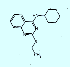 CCSc1nc(NC2CCCCC2)c2ccccc2n1